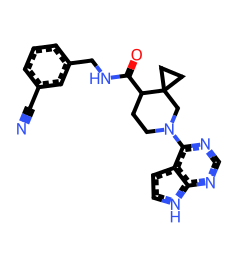 N#Cc1cccc(CNC(=O)C2CCN(c3ncnc4[nH]ccc34)CC23CC3)c1